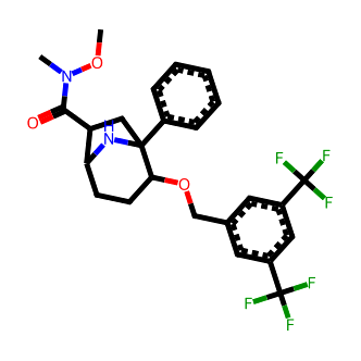 CON(C)C(=O)C1CC2(c3ccccc3)NC1CCC2OCc1cc(C(F)(F)F)cc(C(F)(F)F)c1